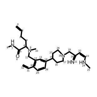 C=CCCC(C(=O)NC)N(C)Cc1cc(C2CCN(CC(=N)/C=C\NC)CC2)ccc1C=C